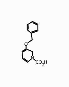 O=C(O)N1C=CC=C(OCc2ccccc2)C1